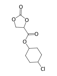 O=C1OCC(C(=O)OC2CCC(Cl)CC2)O1